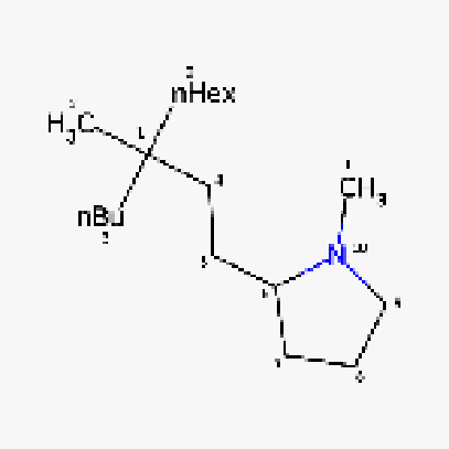 CCCCCCC(C)(CCCC)CCC1CCCN1C